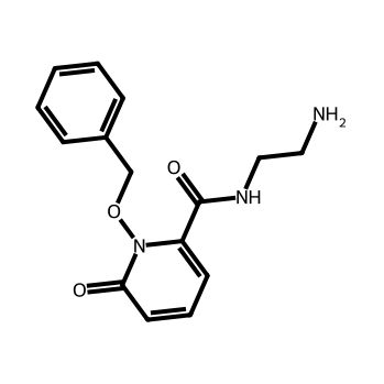 NCCNC(=O)c1cccc(=O)n1OCc1ccccc1